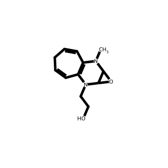 CN1C2=C(C=CCC=C2)N(CCO)C2OC21